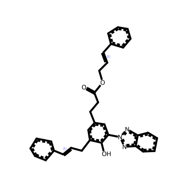 O=C(CCc1cc(C/C=C/c2ccccc2)c(O)c(-n2nc3ccccc3n2)c1)OC/C=C/c1ccccc1